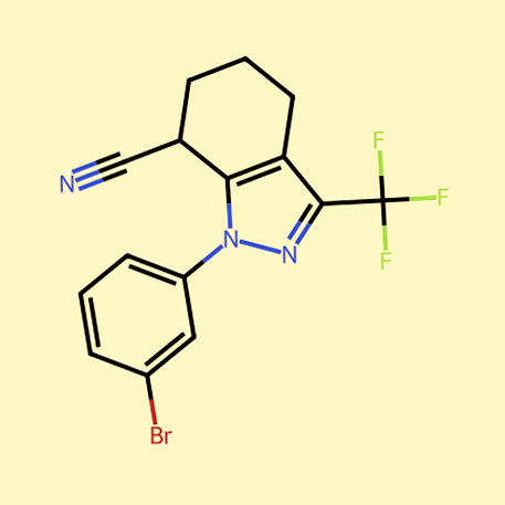 N#CC1CCCc2c(C(F)(F)F)nn(-c3cccc(Br)c3)c21